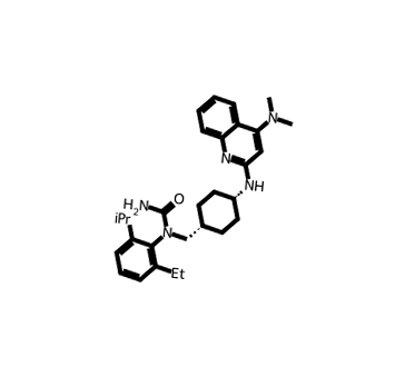 CCc1cccc(C(C)C)c1N(C[C@H]1CC[C@@H](Nc2cc(N(C)C)c3ccccc3n2)CC1)C(N)=O